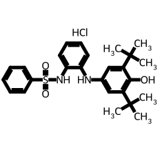 CC(C)(C)c1cc(Nc2ccccc2NS(=O)(=O)c2ccccc2)cc(C(C)(C)C)c1O.Cl